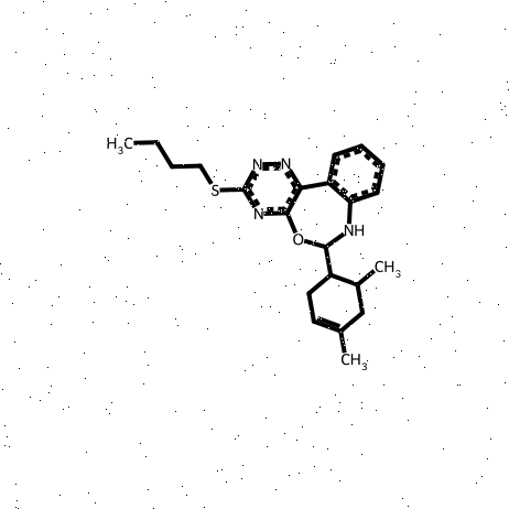 CCCCSc1nnc2c(n1)OC(C1CC=C(C)CC1C)Nc1ccccc1-2